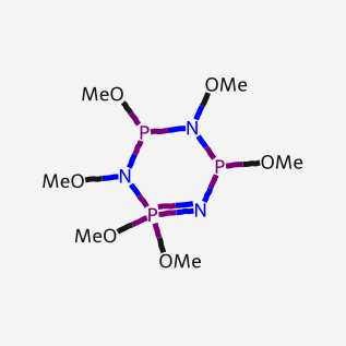 CON1P(OC)N=P(OC)(OC)N(OC)P1OC